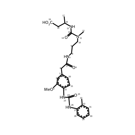 COc1cc(CC(=O)NCCCN(C)C(=O)NC(C)CC(=O)O)ccc1NC(=O)Nc1ccccc1C